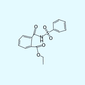 CCOC(=O)c1ccccc1C(=O)NS(=O)(=O)c1ccccc1